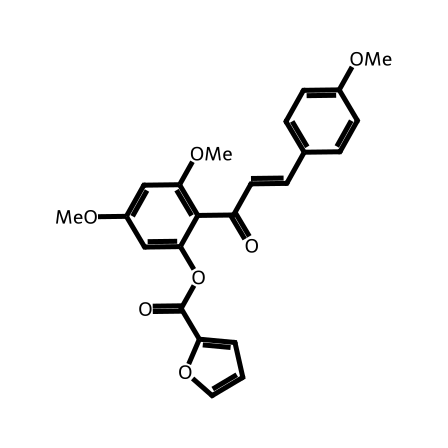 COc1ccc(C=CC(=O)c2c(OC)cc(OC)cc2OC(=O)c2ccco2)cc1